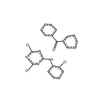 Clc1nc(Cl)nc(Nc2ccccc2Cl)n1.O=C(c1ccccc1)c1ccccc1